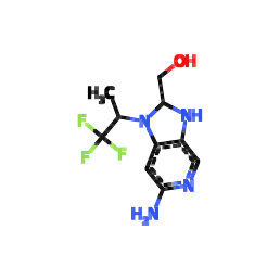 CC(N1c2cc(N)ncc2NC1CO)C(F)(F)F